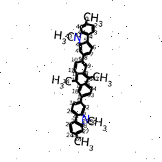 Cc1ccc2c3ccc(-c4ccc5c(C)c6cc(-c7ccc8c9ccc(C)cc9n(C)c8c7)ccc6c(C)c5c4)cc3n(C)c2c1